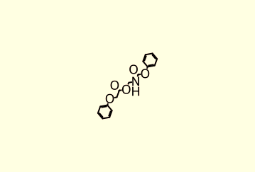 O=C(COc1ccccc1)OCNC(=O)Oc1ccccc1